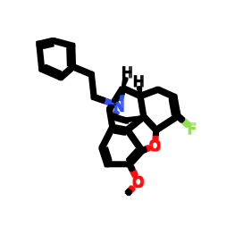 COc1ccc2c3c1OC1C(F)=CC[C@H]4[C@@H](C2)N(CCc2ccccc2)CC[C@]314